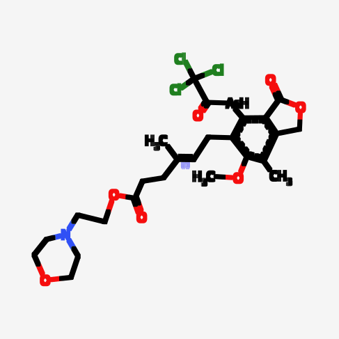 COc1c(C)c2c(c([AsH]C(=O)C(Cl)(Cl)Cl)c1C/C=C(\C)CCC(=O)OCCN1CCOCC1)C(=O)OC2